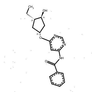 CC[C@H]1C[C@@H](Oc2cc(NC(=O)c3ccccc3)ncn2)C[C@@H]1O